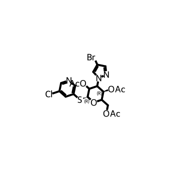 CC(=O)OCC1O[C@H](Sc2cncc(Cl)c2)C(OC(C)=O)C(n2cc(Br)cn2)[C@H]1OC(C)=O